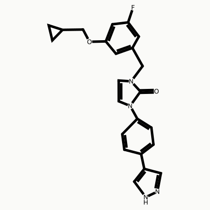 O=c1n(Cc2cc(F)cc(OCC3CC3)c2)ccn1-c1ccc(-c2cn[nH]c2)cc1